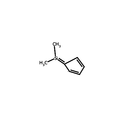 C[Si](C)=C1[C]=CC=C1